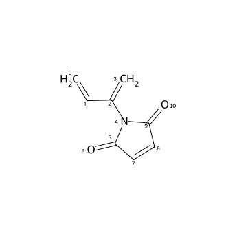 C=CC(=C)N1C(=O)C=CC1=O